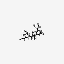 CCCCC[C@H](CN(O)C=O)C(=O)NNc1cc(C(CC)CC)[nH]c(=O)c1